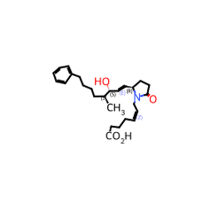 C[C@@H](CCCCc1ccccc1)[C@H](O)/C=C/[C@H]1CCC(=O)N1C/C=C\CCCC(=O)O